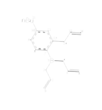 C=CCB(CC=C)c1ccc(CCCC)cc1CC=C